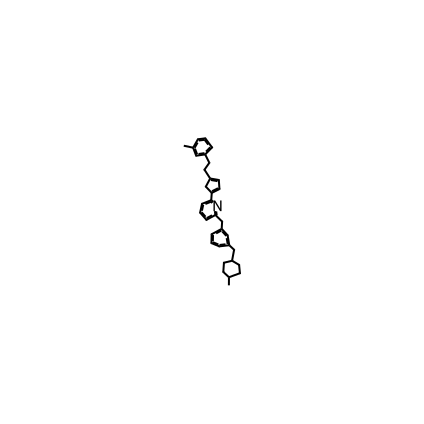 Cc1cccc(CCC2=CC=C(c3cccc(Cc4cccc(CC5CCC(C)CC5)c4)n3)C2)c1